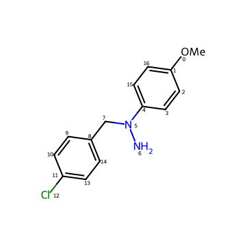 COc1ccc(N(N)Cc2ccc(Cl)cc2)cc1